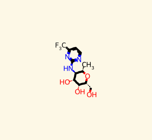 C[C@@H]1O[C@H](CO)[C@H](O)[C@H](O)[C@H]1Nc1nccc(C(F)(F)F)n1